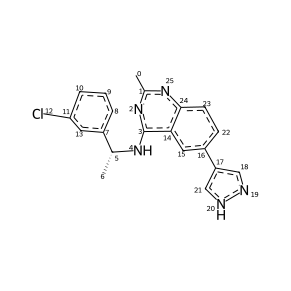 Cc1nc(N[C@H](C)c2cccc(Cl)c2)c2cc(-c3cn[nH]c3)ccc2n1